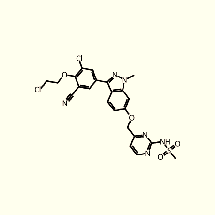 Cn1nc(-c2cc(Cl)c(OCCCl)c(C#N)c2)c2ccc(OCc3ccnc(NS(C)(=O)=O)n3)cc21